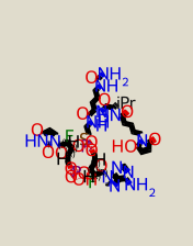 CC(C)C(NC(=O)CCCCN1C(=O)C=CC1O)C(=O)NC(CCCNC(N)=O)C(=O)NCCSP1(=O)OC[C@H]2O[C@@H](n3cnc4c(N)ncnc43)[C@H](F)[C@@H]2OP(=O)(O)OC[C@H]2O[C@@H](n3ccc(=O)[nH]c3=O)[C@H](F)[C@@H]2O1